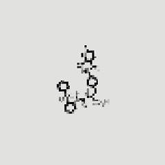 Cc1ccc(C(=O)Nc2ccc(CC(NC(=O)Nc3ccccc3S(=O)(=O)c3ccccc3)C(=O)O)cc2)c(Cl)n1